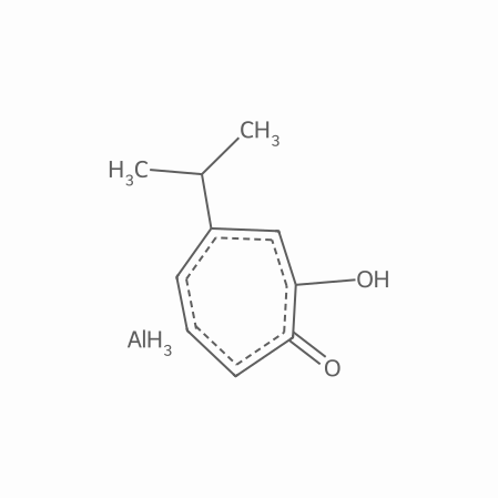 CC(C)c1cccc(=O)c(O)c1.[AlH3]